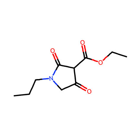 CCCN1CC(=O)C(C(=O)OCC)C1=O